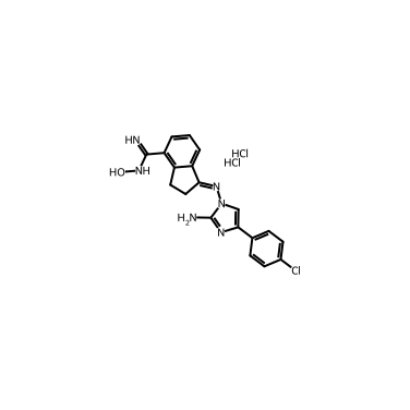 Cl.Cl.N=C(NO)c1cccc2c1CCC2=Nn1cc(-c2ccc(Cl)cc2)nc1N